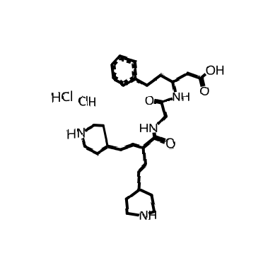 Cl.Cl.O=C(O)CC(CCc1ccccc1)NC(=O)CNC(=O)C(CCC1CCNCC1)CCC1CCNCC1